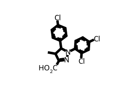 CC1C(C(=O)O)=NN(c2ccc(Cl)cc2Cl)C1c1ccc(Cl)cc1